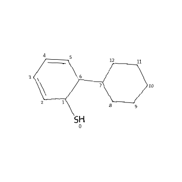 SC1C=CC=CC1C1CCCCC1